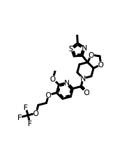 COc1nc(C(=O)N2CCC3(c4csc(C)n4)OCOC3C2)ccc1OCCOC(F)(F)F